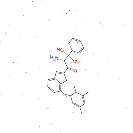 CC1=CC(C)C(C[C@H]2C(C(=O)[C@H](N)C(O)(O)C3C=CC=CC3)=Cc3cccc(C)c32)C(C)=C1